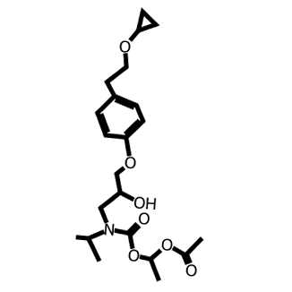 CC(=O)OC(C)OC(=O)N(CC(O)COc1ccc(CCOC2CC2)cc1)C(C)C